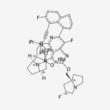 CC(C)[Si](C#Cc1c(F)ccc2cccc(-c3nc4c5c(cc(OC[C@@]67CCCN6C[C@H](F)C7)nc5c3F)N3C[C@H]5CC[C@@H]([C@H]3CO4)N5C(=O)OC(C)(C)C)c12)(C(C)C)C(C)C